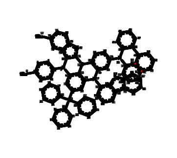 CC(C)(C)c1ccc(N2c3cc([Si](c4ccccc4)(c4ccccc4)c4ccccc4)cc4c3B(c3ccc(N(c5ccccc5)c5ccccc5-c5ccccc5)cc3N4c3cccc4c3sc3ccccc34)c3sc4ccc(C(C)(C)C)cc4c32)cc1